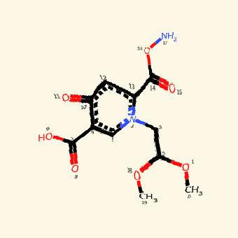 COC(Cn1cc(C(=O)O)c(=O)cc1C(=O)ON)OC